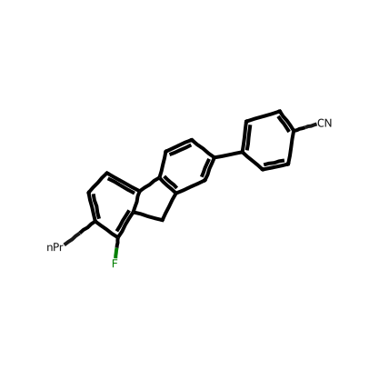 CCCc1ccc2c(c1F)Cc1cc(-c3ccc(C#N)cc3)ccc1-2